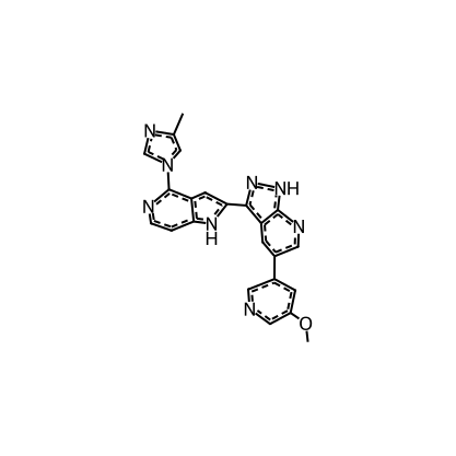 COc1cncc(-c2cnc3[nH]nc(-c4cc5c(-n6cnc(C)c6)nccc5[nH]4)c3c2)c1